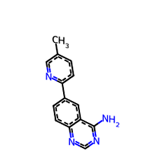 Cc1ccc(-c2ccc3ncnc(N)c3c2)nc1